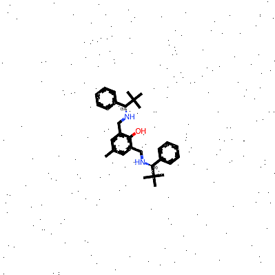 Cc1cc(CN[C@H](c2ccccc2)C(C)(C)C)c(O)c(CN[C@@H](c2ccccc2)C(C)(C)C)c1